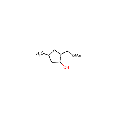 COCC1CC(C)CC1O